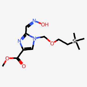 COC(=O)c1cn(COCC[Si](C)(C)C)c(/C=N\O)n1